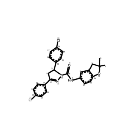 CC1(C)Cc2cc(NC(=O)N3N=C(c4ccc(Cl)cc4)CC3c3ccc(Cl)cc3)ccc2O1